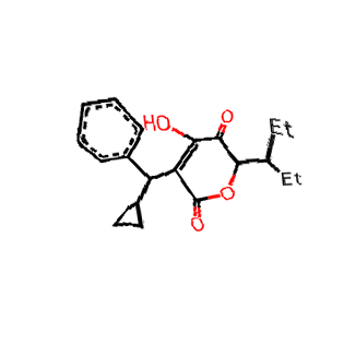 CCC(CC)C1OC(=O)C(C(c2ccccc2)C2CC2)=C(O)C1=O